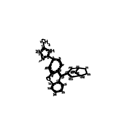 Cc1nnc(-c2ccc3c(c2)Oc2ccccc2C3=C2CC3CCC(C2)N3)[nH]1